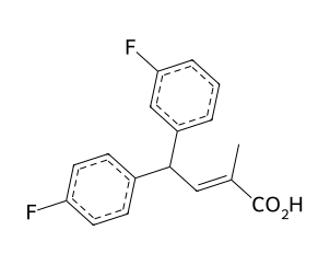 CC(=CC(c1ccc(F)cc1)c1cccc(F)c1)C(=O)O